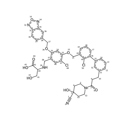 N#CC1(O)CCN(C(=O)CCc2cccc(-c3cccc(COc4cc(OCc5ccc6nonc6c5)c(CNC(CO)C(=O)O)cc4Cl)c3Cl)c2)CC1